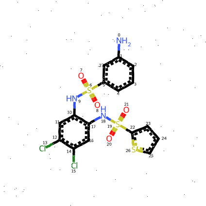 Nc1cccc(S(=O)(=O)Nc2cc(Cl)c(Cl)cc2NS(=O)(=O)c2cccs2)c1